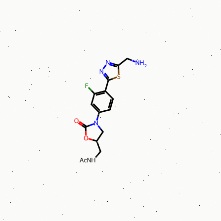 CC(=O)NCC1CN(c2ccc(-c3nnc(CN)s3)c(F)c2)C(=O)O1